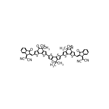 CC1(C)Oc2cc(-c3cc4c(s3)-c3sc(/C=C5\C(=O)c6ccccc6C5=C(C#N)C#N)cc3C(=O)C4(C)C)sc2-c2sc(-c3cc4c(s3)-c3sc(/C=C5\C(=O)c6ccccc6C5=C(C#N)C#N)cc3C(=O)C4(C)C)cc21